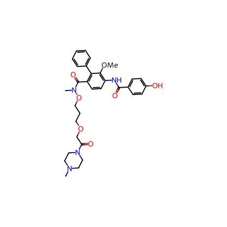 COc1c(NC(=O)c2ccc(O)cc2)ccc(C(=O)N(C)OCCCOCC(=O)N2CCN(C)CC2)c1-c1ccccc1